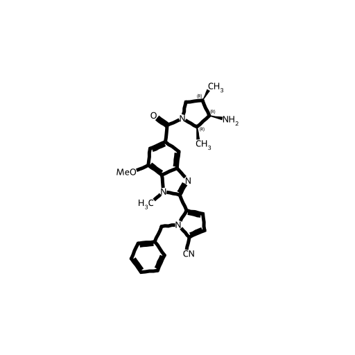 COc1cc(C(=O)N2C[C@@H](C)[C@@H](N)[C@H]2C)cc2nc(-c3ccc(C#N)n3Cc3ccccc3)n(C)c12